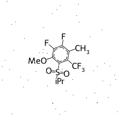 COc1c(F)c(F)c(C)c(C(F)(F)F)c1S(=O)(=O)C(C)C